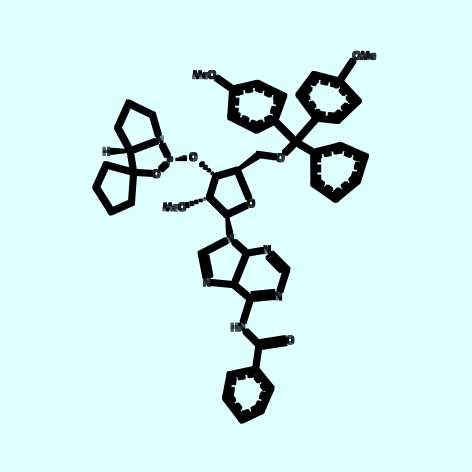 COc1ccc(C(OC[C@H]2O[C@@H](N3C=NC4C(NC(=O)c5ccccc5)=NC=NC43)[C@H](OC)[C@@H]2O[P@]2OC3(CCCC3)[C@@H]3CCCN32)(c2ccccc2)c2ccc(OC)cc2)cc1